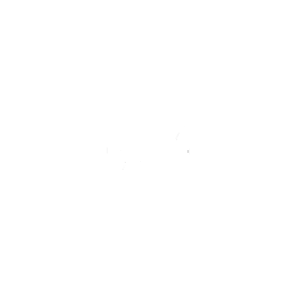 CCCCCCCCCC1(C(=O)O)CCC(CCCCCCCCC)(C(=O)O)CC1